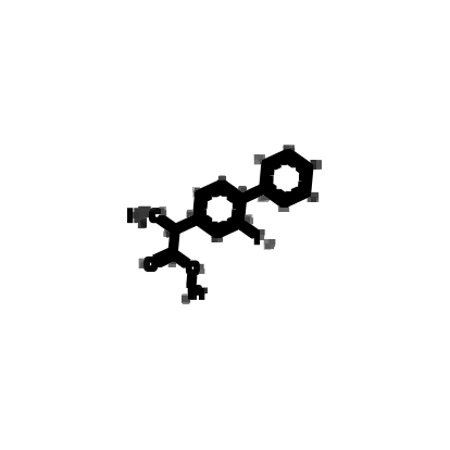 CC(C)OC(=O)C([11CH3])c1ccc(-c2ccccc2)c(F)c1